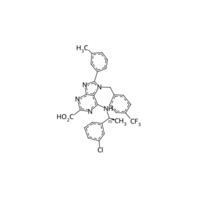 Cc1cccc(-c2nc3nc(C(=O)O)nc(N[C@@H](C)c4cccc(Cl)c4)c3n2Cc2ccc(C(F)(F)F)cc2)c1